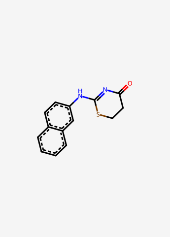 O=C1CCSC(Nc2ccc3ccccc3c2)=N1